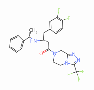 C[C@@H](N[C@@H](CC(=O)N1CCn2c(nnc2C(F)(F)F)C1)Cc1ccc(F)c(F)c1)c1ccccc1